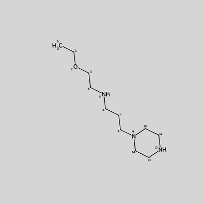 CCOCCNCCCN1CCNCC1